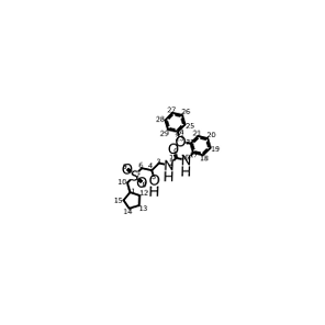 O=C(NCC(O)CS(=O)(=O)CC1CCCC1)Nc1ccccc1Oc1ccccc1